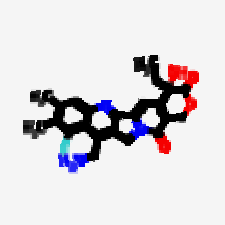 CC[C@@]1(O)C(=O)OCc2c1cc1n(c2=O)Cc2c-1nc1cc(C)c(C)c(F)c1c2CN